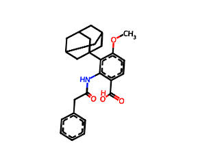 COc1ccc(C(=O)O)c(NC(=O)Cc2ccccc2)c1C12CC3CC(CC(C3)C1)C2